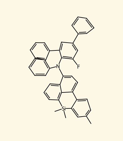 Cc1ccc2c(c1)[Si](C)(C)c1cccc3c(N(c4ccccc4)c4c(F)cc(-c5ccccc5)cc4-c4ccccc4)ccc-2c13